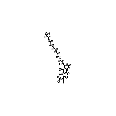 O=C1CCC(N2C(=O)c3cccc(NCCOCCOCCOCCOCCO)c3C2=O)C(=O)N1